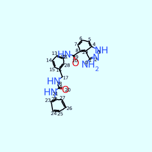 Nc1n[nH]c2cccc(C(=O)Nc3cccc(CNC(=O)Nc4ccccc4)c3)c12